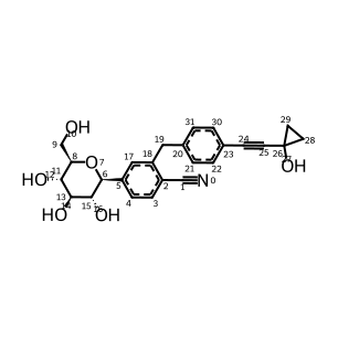 N#Cc1ccc([C@@H]2O[C@H](CO)[C@@H](O)[C@H](O)[C@H]2O)cc1Cc1ccc(C#CC2(O)CC2)cc1